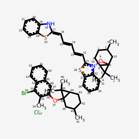 CC1CCC2C(C)(C)C2(O[n+]2c(C=CC=CC=C3Nc4ccccc4S3)sc3ccccc32)C1.Cc1c(OC23CC(C)CCC2C3(C)C)cc2ccccc2c1Br.[Cl-]